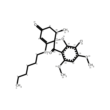 CCCCCCOC1=CC(=O)C[C@@H](C)[C@]12Oc1c(Cl)c(OC)cc(OC)c1C2=O